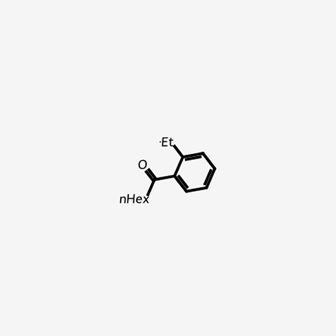 C[CH]c1ccccc1C(=O)CCCCCC